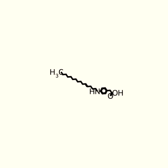 CCCCCCCCCCC=CCCCNc1ccc(CC(=O)O)cc1